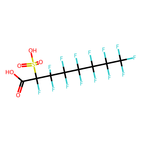 O=C(O)C(F)(C(F)(F)C(F)(F)C(F)(F)C(F)(F)C(F)(F)C(F)(F)F)S(=O)(=O)O